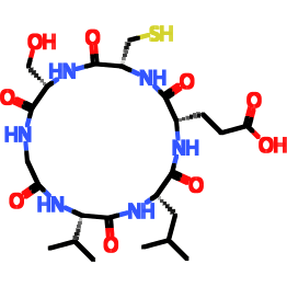 CC(C)C[C@@H]1NC(=O)[C@H](C(C)C)NC(=O)CNC(=O)[C@H](CO)NC(=O)[C@H](CS)NC(=O)[C@H](CCC(=O)O)NC1=O